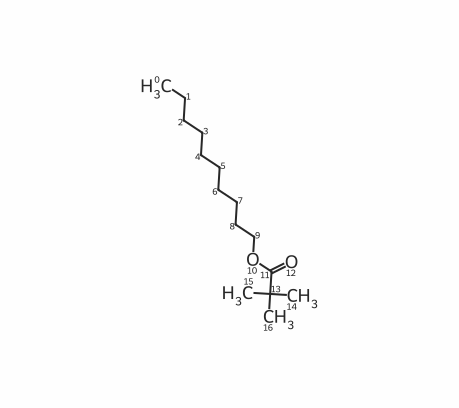 CCCCCCCCCCOC(=O)C(C)(C)C